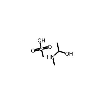 CNC(C)O.CS(=O)(=O)O